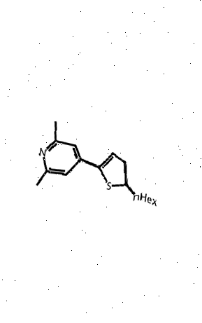 CCCCCCC1CC=C(c2cc(C)nc(C)c2)S1